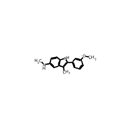 CNc1ccc2[nH]c(-c3cccc(OC)c3)c(C)c2c1